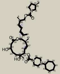 C/C(=C\C=C\[C@@H](C)COC(=O)N1CC[C@@H](C)C1)[C@H]1OC(=O)C[C@H](O)CC[C@@](C)(O)[C@@H](OC(=O)N2CCN(C3CCCCCC3)CC2)/C=C/[C@@H]1C